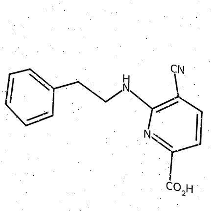 N#Cc1ccc(C(=O)O)nc1NCCc1ccccc1